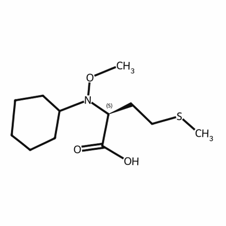 CON(C1CCCCC1)[C@@H](CCSC)C(=O)O